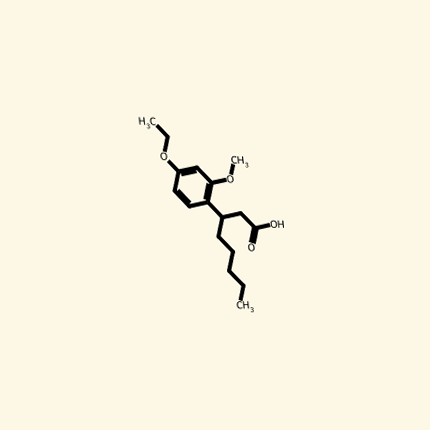 CCCCCC(CC(=O)O)c1ccc(OCC)cc1OC